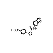 O=C(O)c1ccc([C@H]2CC[C@@H]2C(=O)Nc2ccc3cnsc3c2)cc1